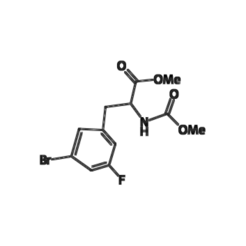 COC(=O)NC(Cc1cc(F)cc(Br)c1)C(=O)OC